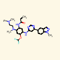 C=CC(=O)Nc1cc(Nc2cc(-c3ccc4c(cnn4C)c3)ncn2)c(OC(F)F)cc1N(C)CCN(C)C(C)C